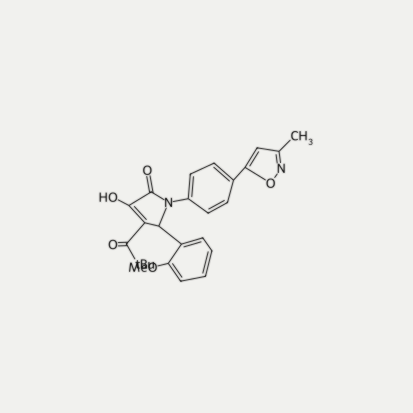 COc1ccccc1C1C(C(=O)C(C)(C)C)=C(O)C(=O)N1c1ccc(-c2cc(C)no2)cc1